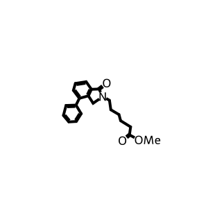 COC(=O)CCCCCN1Cc2c(cccc2-c2ccccc2)C1=O